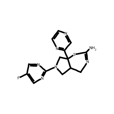 NC1=NCC2CN(c3ncc(F)cn3)CC2(c2cnccn2)S1